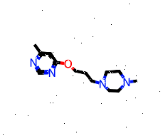 Cc1cc(OCCCN2CCN(C)CC2)ncn1